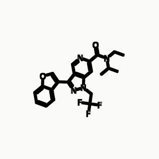 CCN(C(=O)c1cc2c(cn1)c(-c1coc3ccccc13)nn2CC(F)(F)F)C(C)C